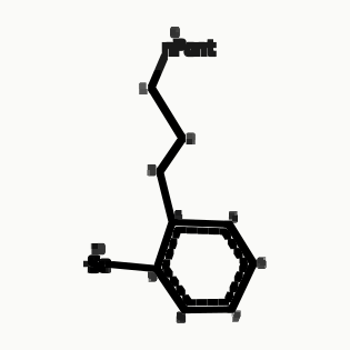 CCCCCCCCc1ccccc1[Se]